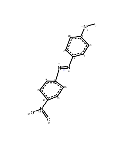 CNc1ccc(/N=N/c2ccc([N+](=O)[O-])cc2)cc1